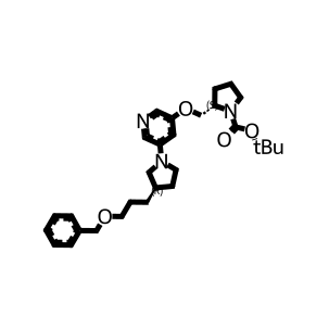 CC(C)(C)OC(=O)N1CCC[C@H]1COc1cncc(N2CC[C@@H](CCCOCc3ccccc3)C2)c1